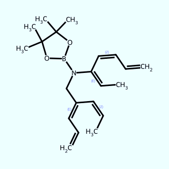 C=C/C=C\C(=C/C)N(CC(/C=C\C)=C/C=C)B1OC(C)(C)C(C)(C)O1